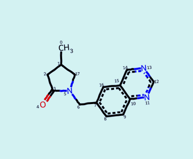 CC1CC(=O)N(Cc2ccc3ncncc3c2)C1